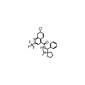 CN(C)C1(C(NC(=O)c2cc(C(F)(F)F)nc3c2C=CC(Cl)C3)c2ccccc2)CCCC1